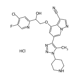 Cc1c(-c2cc(OCC(O)c3cc(Cl)c(F)cn3)c3c(C#N)cnn3c2)nnn1C1CCNCC1.Cl